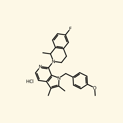 COc1ccc(Cn2c(C)c(C)c3ccnc(N4CCc5cc(F)ccc5C4C)c32)cc1.Cl